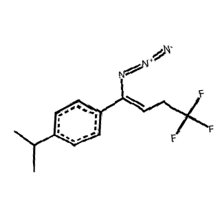 CC(C)c1ccc(C(=CCC(F)(F)F)N=[N+]=[N-])cc1